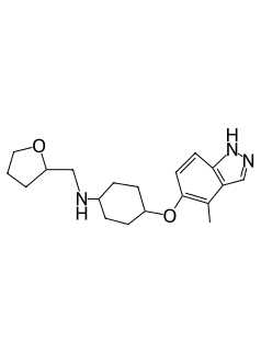 Cc1c(OC2CCC(NCC3CCCO3)CC2)ccc2[nH]ncc12